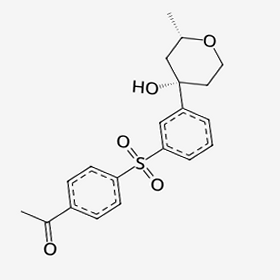 CC(=O)c1ccc(S(=O)(=O)c2cccc([C@]3(O)CCO[C@@H](C)C3)c2)cc1